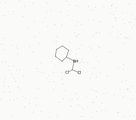 ClC(Cl)BC1CCCCC1